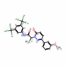 COc1cccc(-c2ccc(=O)n(C(C)C(=O)Nc3cc(C(F)(F)F)cc(C(F)(F)F)c3)n2)c1